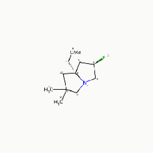 COC[C@]12C[C@@H](F)CN1CC(C)(C)C2